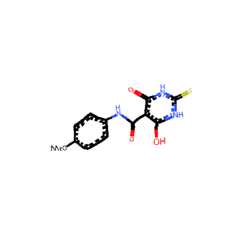 COc1ccc(NC(=O)c2c(O)[nH]c(=S)[nH]c2=O)cc1